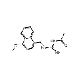 COc1ccc(CNC(=N)NC(C)=O)c2ccccc12